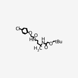 C=C(CCNC(=O)COc1ccc(Cl)cc1)NC(=O)COCC(C)(C)C